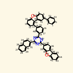 c1ccc(-c2ccc3oc4cccc(-c5cccc(-c6nc(-c7ccc8ccccc8c7)nc(-c7ccc8c(c7)oc7ccccc78)n6)c5)c4c3c2)cc1